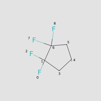 FC1(F)C[CH]CC1(F)F